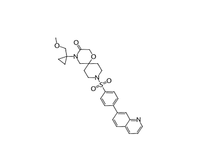 COCC1(N2CC3(CCN(S(=O)(=O)c4ccc(-c5ccc6cccnc6c5)cc4)CC3)OCC2=O)CC1